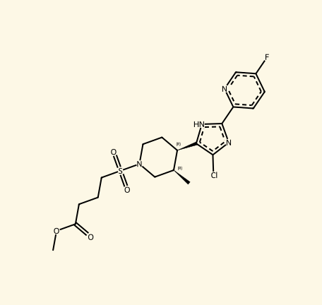 COC(=O)CCCS(=O)(=O)N1CC[C@@H](c2[nH]c(-c3ccc(F)cn3)nc2Cl)[C@@H](C)C1